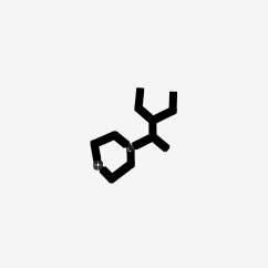 CCC(CC)C(C)N1CCOCC1